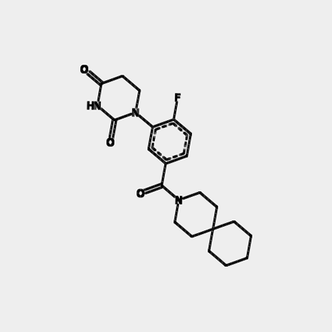 O=C1CCN(c2cc(C(=O)N3CCC4(CCCCC4)CC3)ccc2F)C(=O)N1